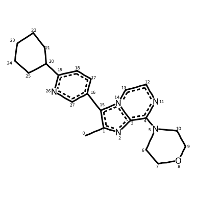 Cc1nc2c(N3CCOCC3)nccn2c1-c1ccc(C2CCCCC2)nc1